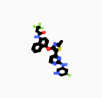 Cc1nc(Oc2ccc(NC(=O)CC(F)(F)F)c3ccccc23)c(-c2ccnc(N[C@@H]3CNC[C@@H](F)C3)n2)s1